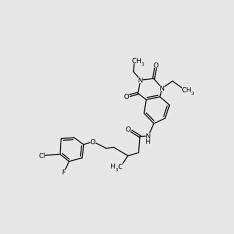 CCn1c(=O)c2cc(NC(=O)CC(C)CCOc3ccc(Cl)c(F)c3)ccc2n(CC)c1=O